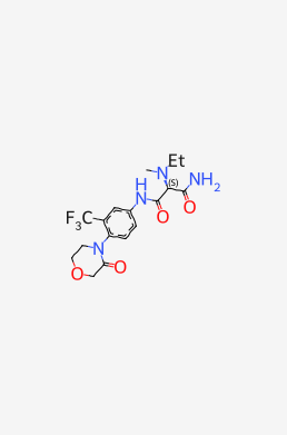 CCN(C)[C@@H](C(N)=O)C(=O)Nc1ccc(N2CCOCC2=O)c(C(F)(F)F)c1